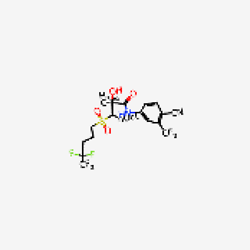 CCCCCCCCC([C@@](C)(O)C(=O)Nc1ccc(C#N)c(C(F)(F)F)c1)S(=O)(=O)CCCC(F)(F)C(F)(F)F